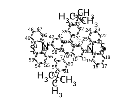 CC(C)(C)c1ccc(-c2c3ccc(N4c5ccccc5Sc5ccccc54)cc3c(-c3ccc(C(C)(C)C)cc3)c3ccc(N4c5ccccc5Sc5ccccc54)cc23)cc1